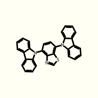 c1ccc2c(c1)c1ccccc1n2-c1ccc(-n2c3ccccc3c3ccccc32)c2scnc12